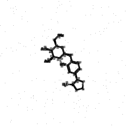 CC(=O)OC[C@H]1O[C@@H](Oc2ccc([C@H]3CCCN3C)cn2)[C@H](OC(C)=O)[C@@H](OC(C)=O)[C@H]1OC(C)=O